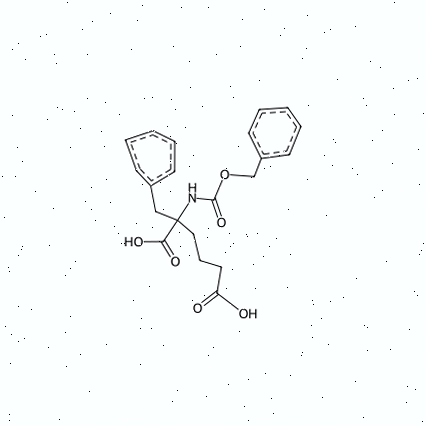 O=C(O)CCCC(Cc1ccccc1)(NC(=O)OCc1ccccc1)C(=O)O